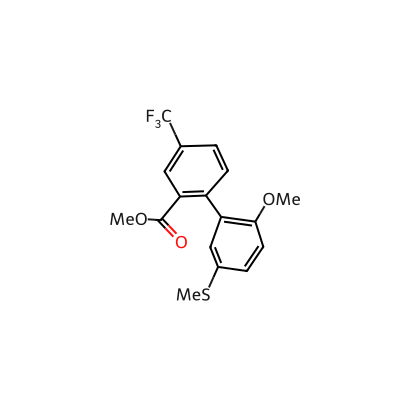 COC(=O)c1cc(C(F)(F)F)ccc1-c1cc(SC)ccc1OC